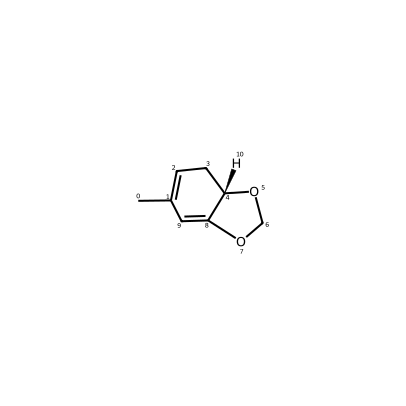 CC1=CC[C@@H]2OCOC2=C1